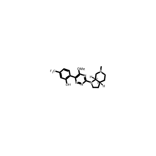 COc1nc(N2CC[C@H]3CCN(C)C[C@H]32)nnc1-c1ccc(C(F)(F)F)cc1O